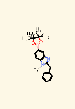 Cn1c(Cc2ccccc2)nc2cc(B3OC(C)(C)C(C)(C)O3)ccc21